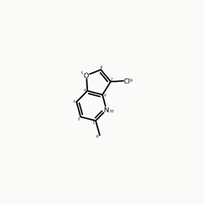 Cc1ccc2occ(Cl)c2n1